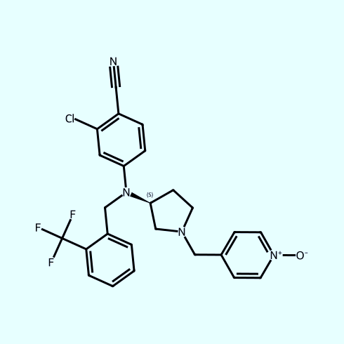 N#Cc1ccc(N(Cc2ccccc2C(F)(F)F)[C@H]2CCN(Cc3cc[n+]([O-])cc3)C2)cc1Cl